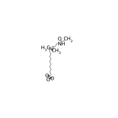 C=CC(=O)NCCC[N+](C)(C)CCCCCCCCCCS(=O)(=O)[O-]